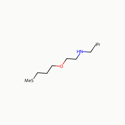 CSCCCOCCNCC(C)C